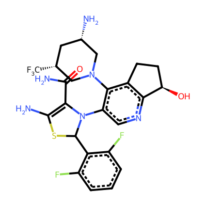 NC(=O)C1=C(N)SC(c2c(F)cccc2F)N1c1cnc2c(c1N1C[C@@H](N)C[C@@H](C(F)(F)F)C1)CC[C@H]2O